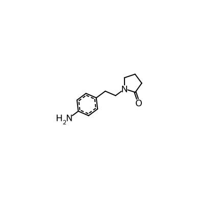 Nc1ccc(CCN2CCCC2=O)cc1